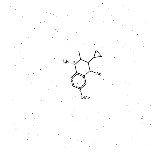 COc1ccc2c(c1)N(C(C)=O)C(C1CC1)C(C)[C@H]2N